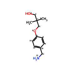 CC(C)(CO)COc1ccc(CN)cc1